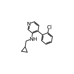 Clc1ccccc1-c1ccncc1NCC1CC1